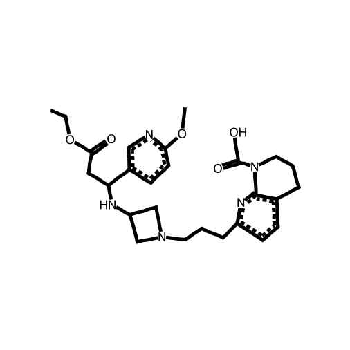 CCOC(=O)CC(NC1CN(CCCc2ccc3c(n2)N(C(=O)O)CCC3)C1)c1ccc(OC)nc1